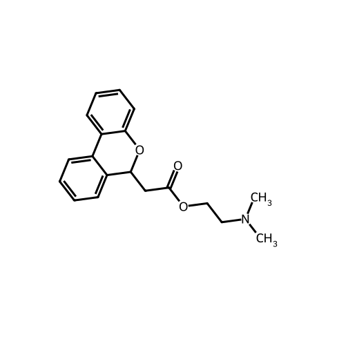 CN(C)CCOC(=O)CC1Oc2ccccc2-c2ccccc21